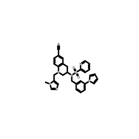 Cn1cncc1CN1CC(N(Cc2cccc(-n3cccc3)c2)S(=O)(=O)c2ccccn2)Cc2cc(C#N)ccc21